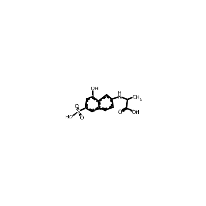 CC(Nc1ccc2cc(S(=O)(=O)O)cc(O)c2c1)C(=O)O